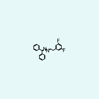 Fc1cc(F)cc(CC=NN=C(c2ccccc2)c2ccccc2)c1